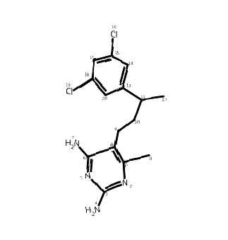 Cc1nc(N)nc(N)c1CCC(C)c1cc(Cl)cc(Cl)c1